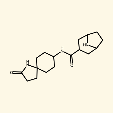 O=C1CCC2(CCC(NC(=O)C3CC4CCC(C3)N4)CC2)N1